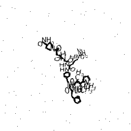 COC(C(C)C(=O)NC(Cc1ccccc1)C(=O)NCc1ccc(NC(=O)C(CCCNC(N)=O)NC(=O)CNC(=O)CCC(=O)N2CCC(C(N)=O)CC2)cc1)C1CCCN1C